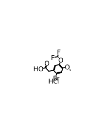 COc1cc(Br)c(CC(=O)O)cc1OC(F)F.Cl